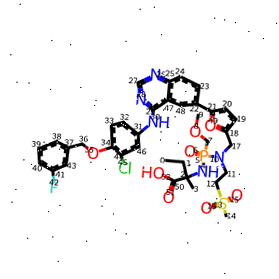 CCC(C)(NP(=O)(COC)N(CCS(C)(=O)=O)Cc1ccc(-c2ccc3ncnc(Nc4ccc(OCc5cccc(F)c5)c(Cl)c4)c3c2)o1)C(=O)O